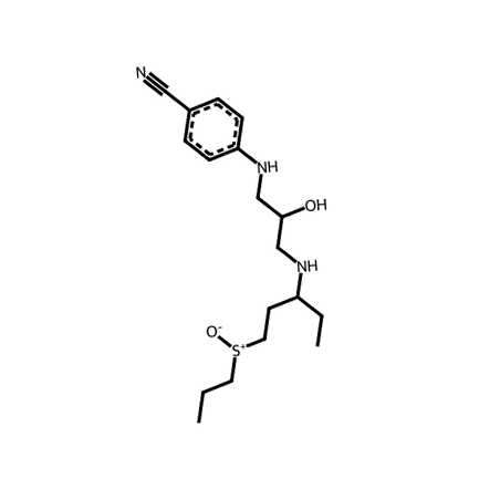 CCC[S+]([O-])CCC(CC)NCC(O)CNc1ccc(C#N)cc1